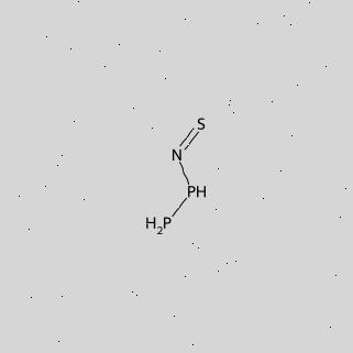 PPN=S